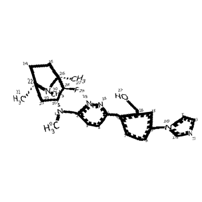 CN(c1ccc(-c2ccc(-n3ccnc3)cc2O)nn1)[C@@H]1C[C@@]2(C)CC[C@@](C)([C@H]1F)N2C